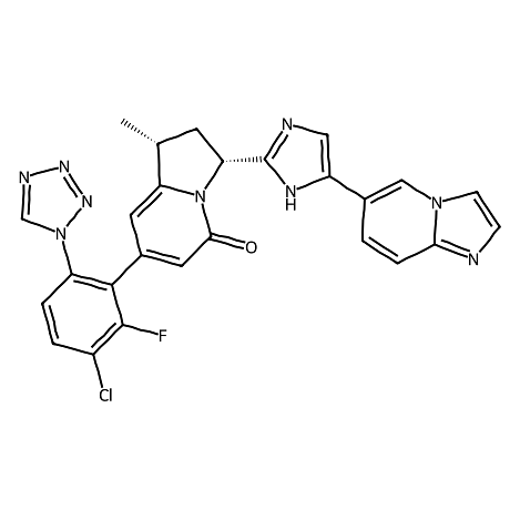 C[C@@H]1C[C@H](c2ncc(-c3ccc4nccn4c3)[nH]2)n2c1cc(-c1c(-n3cnnn3)ccc(Cl)c1F)cc2=O